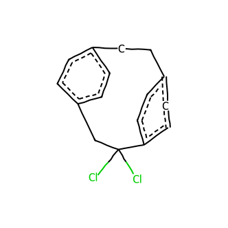 ClC1(Cl)Cc2ccc(cc2)CCc2ccc1cc2